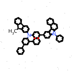 CC1c2ccccc2-c2ccc(N(c3ccc(-c4ccc5c(c4)c4c6ccccc6ccc4n5-c4ccccc4)cc3)c3ccc(-c4ccccc4)cc3-c3ccccc3)cc21